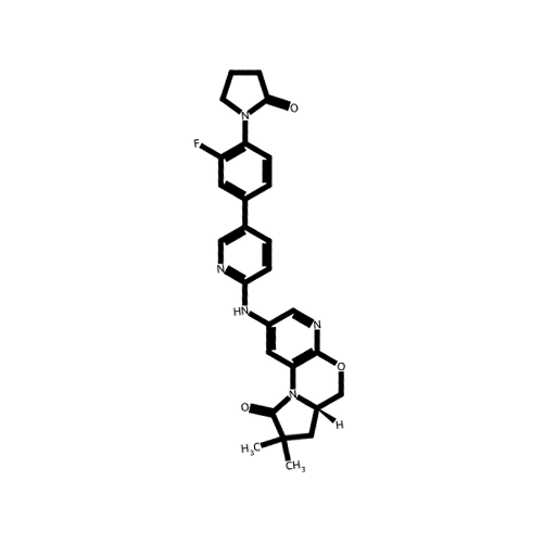 CC1(C)C[C@H]2COc3ncc(Nc4ccc(-c5ccc(N6CCCC6=O)c(F)c5)cn4)cc3N2C1=O